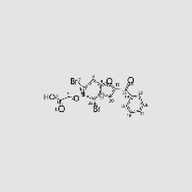 O=C(O)COc1c(Br)cc2oc(C(=O)c3ccccc3)cc2c1Br